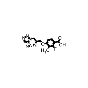 Cc1c(OCC(Cn2ncnn2)N=[N+]=[N-])ccc(C(=O)O)c1F